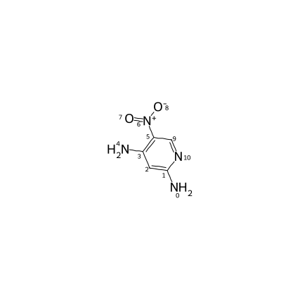 Nc1cc(N)c([N+](=O)[O-])cn1